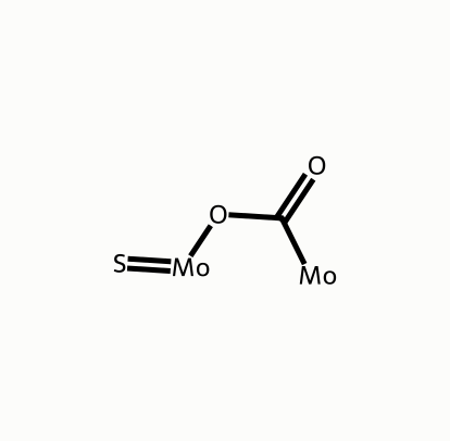 O=[C]([Mo])[O][Mo]=[S]